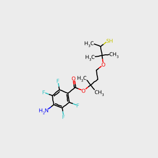 CC(S)C(C)(C)OCCC(C)(C)OC(=O)c1c(F)c(F)c(N)c(F)c1F